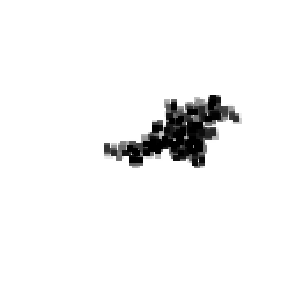 C=CC(=O)N1CC2(CC(n3nc(N4CCC(CN5CCN(C)C(=O)C5)CC4(C)C)c(-c4c(Cl)c(Cl)cc5[nH]ncc45)c3C)C2)C1